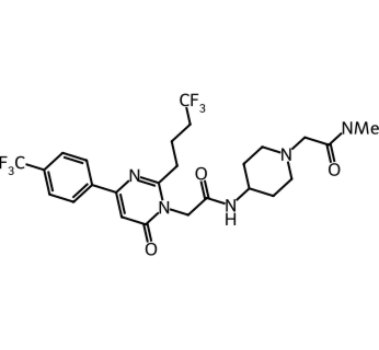 CNC(=O)CN1CCC(NC(=O)Cn2c(CCCC(F)(F)F)nc(-c3ccc(C(F)(F)F)cc3)cc2=O)CC1